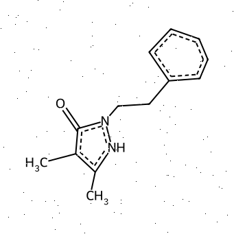 Cc1[nH]n(CCc2ccccc2)c(=O)c1C